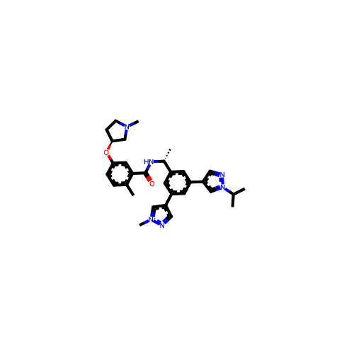 Cc1ccc(O[C@H]2CCN(C)C2)cc1C(=O)N[C@H](C)c1cc(-c2cnn(C)c2)cc(-c2cnn(C(C)C)c2)c1